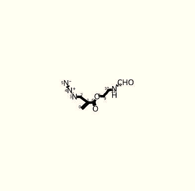 C=C(CN=[N+]=[N-])C(=O)OCCNC=O